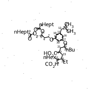 CCCCCCCC(=O)OC[C@@H](CCOc1cc(CN(C)C)cc(OC(CCCC)CC(CC(CC)[C@@H](CCCCCC)C(=O)O)C(=O)O)c1)OC(=O)CCCCCCC